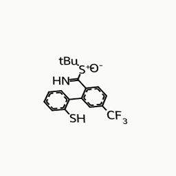 CC(C)(C)[S+]([O-])C(=N)c1ccc(C(F)(F)F)cc1-c1ccccc1S